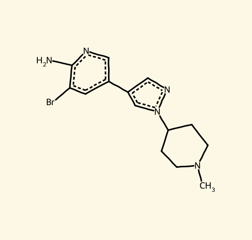 CN1CCC(n2cc(-c3cnc(N)c(Br)c3)cn2)CC1